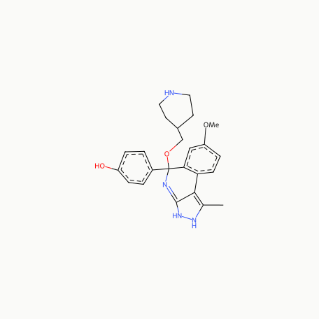 COc1ccc2c(c1)C(OCC1CCNCC1)(c1ccc(O)cc1)N=C1NNC(C)=C12